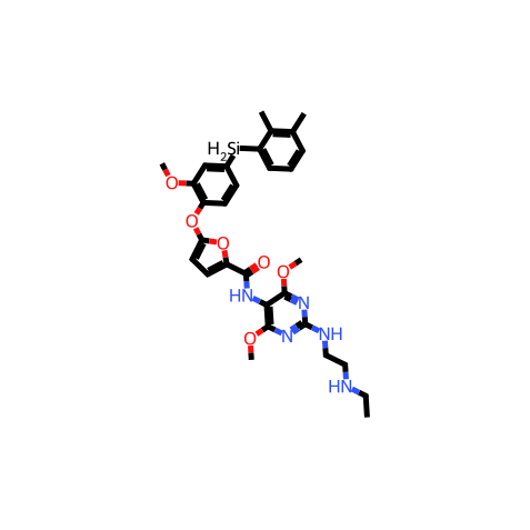 CCNCCNc1nc(OC)c(NC(=O)c2ccc(Oc3ccc([SiH2]c4cccc(C)c4C)cc3OC)o2)c(OC)n1